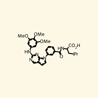 COc1cc(Nc2ncc3ccn(-c4cccc(C(=O)NC(CC(C)C)C(=O)O)c4)c3n2)cc(OC)c1OC